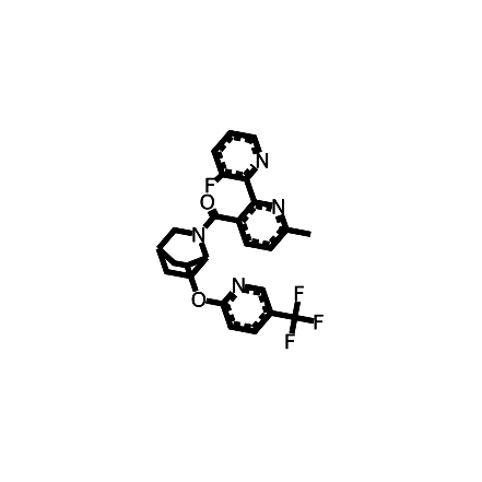 Cc1ccc(C(=O)N2CC3CCC2C(Oc2ccc(C(F)(F)F)cn2)C3)c(-c2ncccc2F)n1